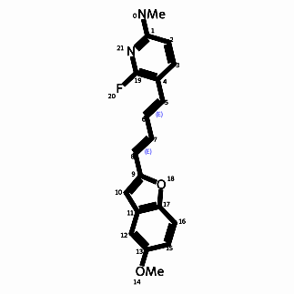 CNc1ccc(/C=C/C=C/c2cc3cc(OC)ccc3o2)c(F)n1